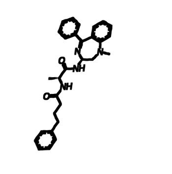 C[C@H](NC(=O)CCCc1ccccc1)C(=O)N[C@@H]1CN(C)c2ccccc2C(c2ccccc2)=N1